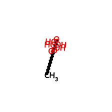 CCCCCCCCCCCCCCCC(=O)OC[C@@H](O)[C@@H](O)[C@H](O)[C@H](O)C=O